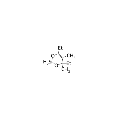 CCC1=C(C)C(C)(CC)O[SiH2]O1